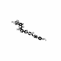 CCN(C)S(=O)(=O)Nc1ccc(F)c(C(=O)c2c[nH]c3ncc(-c4cnc(N5CCN(C(=O)CN6CC7(C6)CN(c6ccc(N)cc6)C7)CC5)nc4)cc23)c1F